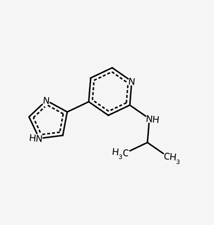 CC(C)Nc1cc(-c2c[nH]cn2)ccn1